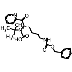 CC(C)(C)N(C(=O)O)[C@@H](CCCCNC(=O)OCc1ccccc1)C(=O)c1ccccn1